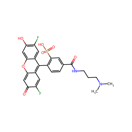 CN(C)CCCNC(=O)c1ccc(-c2c3cc(F)c(=O)cc-3oc3cc(O)c(F)cc23)c(S(=O)(=O)O)c1